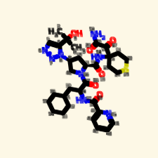 CC(C)(O)c1cnnn1[C@H]1C[C@@H](C(=O)NC2(C(=O)C(N)=O)CCSCC2)N(C(=O)C(CC2CCCCC2)NC(=O)c2ccccn2)C1